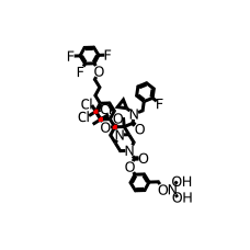 CC1(C(=O)N(Cc2ccccc2F)C2CC2)C(c2ccc(CCCOc3c(F)ccc(F)c3F)cc2)CC2CN(C(=O)Oc3cccc(CON(O)O)c3)CC1N2C(=O)OC(C)(C)C(Cl)(Cl)Cl